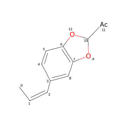 C/C=C\c1ccc2c(c1)OC(C(C)=O)O2